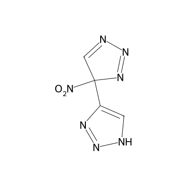 O=[N+]([O-])C1(c2c[nH]nn2)C=NN=N1